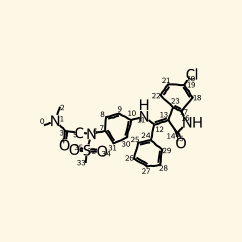 CN(C)C(=O)CN(c1ccc(NC(=C2C(=O)Nc3cc(Cl)ccc32)c2ccccc2)cc1)S(C)(=O)=O